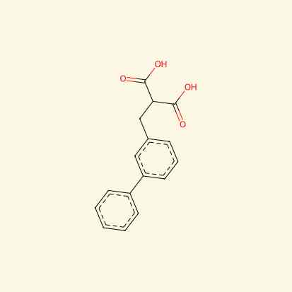 O=C(O)C(Cc1cccc(-c2ccccc2)c1)C(=O)O